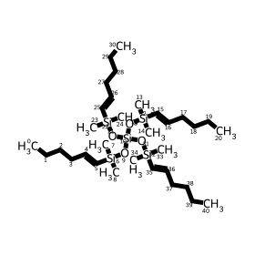 CCCCC=C[Si](C)(C)O[Si](O[Si](C)(C)C=CCCCC)(O[Si](C)(C)C=CCCCC)O[Si](C)(C)C=CCCCC